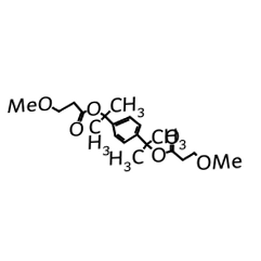 COCCC(=O)OC(C)(C)c1ccc(C(C)(C)OC(=O)CCOC)cc1